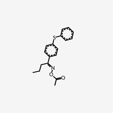 CCCC(=NOC(C)=O)c1ccc(Sc2ccccc2)cc1